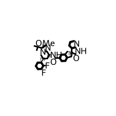 COC(C)(C)c1cnc2n1C[C@H](c1cccc(F)c1F)C[C@@H]2NC(=O)c1ccc2c(c1)C[C@@]1(C2)C(=O)Nc2ncccc21